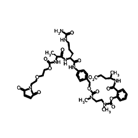 CC(CCC(=O)O)NC(=O)c1ccccc1OC(=O)N(C)CCN(C)C(=O)OCc1ccc(NC(=O)[C@H](CCCNC(N)=O)NC(=O)[C@H](C)NC(=O)OCCOCCN2C(=O)C=CC2=O)cc1